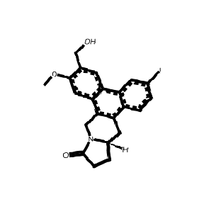 COc1cc2c3c(c4ccc(I)cc4c2cc1CO)C[C@@H]1CCC(=O)N1C3